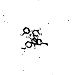 C#Cc1ccc(OC2CCN(CC)CC2)c([C@H]2NC(=O)C[C@@H](c3cccc(Cl)c3)[C@]23C(=O)Nc2cc(Cl)ccc23)c1